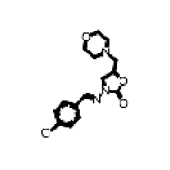 O=C1OC(CN2CCOCC2)CN1N=Cc1ccc(Cl)cc1